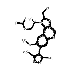 COc1cc2c(cc1-c1c(C)noc1C)ncc1nc(CCl)n([C@H](C)COC(F)F)c12